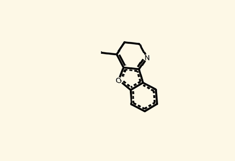 CC1=c2oc3ccccc3c2=NCC1